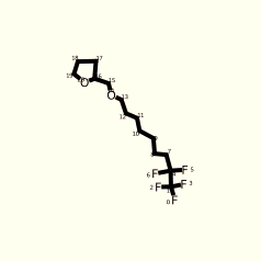 FC(F)(F)C(F)(F)CCCCCCCOCC1CCCO1